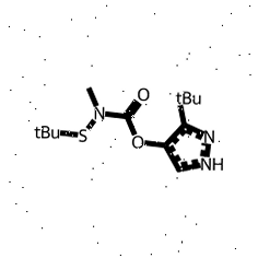 CN(SC(C)(C)C)C(=O)Oc1c[nH]nc1C(C)(C)C